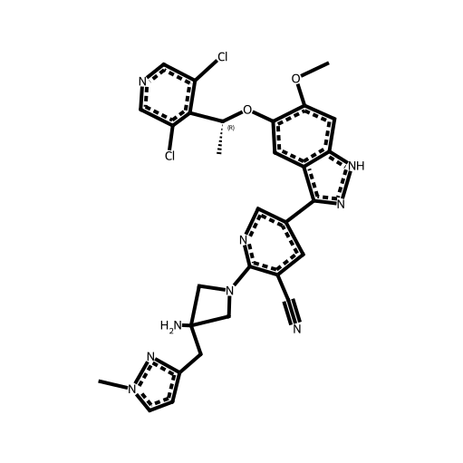 COc1cc2[nH]nc(-c3cnc(N4CC(N)(Cc5ccn(C)n5)C4)c(C#N)c3)c2cc1O[C@H](C)c1c(Cl)cncc1Cl